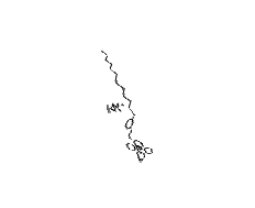 CCCCCCCCCCCCOCCOP(=O)([O-])[O-].[K+].[K+]